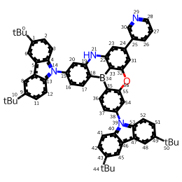 CC(C)(C)c1ccc2c(c1)c1cc(C(C)(C)C)ccc1n2-c1ccc2c(c1)Nc1cc(-c3cccnc3)cc3c1B2c1ccc(-n2c4ccc(C(C)(C)C)cc4c4cc(C(C)(C)C)ccc42)cc1O3